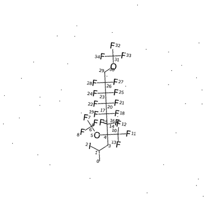 CC(I)CC(OC(F)(F)F)(C(F)(F)F)C(F)(F)C(F)(F)C(F)(F)C(F)(F)C(F)(F)COC(F)(F)F